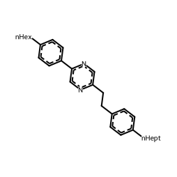 CCCCCCCc1ccc(CCc2cnc(-c3ccc(CCCCCC)cc3)cn2)cc1